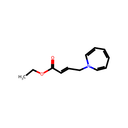 CCOC(=O)C=CCN1C=CC=CC=C1